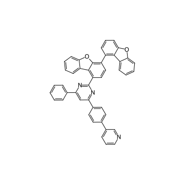 c1ccc(-c2cc(-c3ccc(-c4cccnc4)cc3)nc(-c3ccc(-c4cccc5oc6ccccc6c45)c4oc5ccccc5c34)n2)cc1